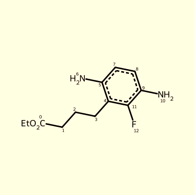 CCOC(=O)CCCc1c(N)ccc(N)c1F